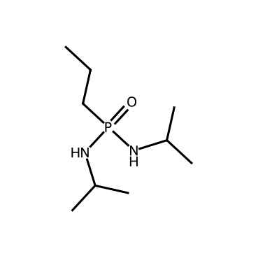 CCCP(=O)(NC(C)C)NC(C)C